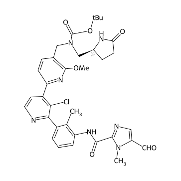 COc1nc(-c2ccnc(-c3cccc(NC(=O)c4ncc(C=O)n4C)c3C)c2Cl)ccc1CN(C[C@@H]1CCC(=O)N1)C(=O)OC(C)(C)C